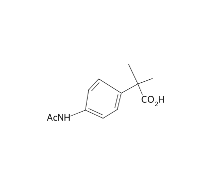 CC(=O)Nc1ccc(C(C)(C)C(=O)O)cc1